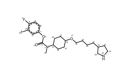 CN(C(=O)Oc1ccc(F)c(F)c1)C1CCC(OCCCCC2CCNC2)CC1